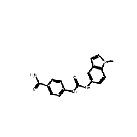 Cn1ccc2cc(NC(=O)Nc3ccc(C(N)=S)cc3)ccc21